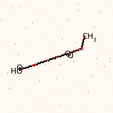 CCCCCCCC/C=C\CCCCCCCC(=O)OCCCCCCCCCCCCCCCCCCCCCCCCCCCCCCCC(=O)O